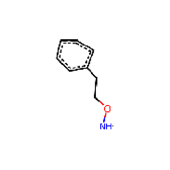 [NH]OCCc1ccccc1